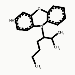 CCCCC(C(C)C)N1c2ccccc2Oc2ccccc21.N